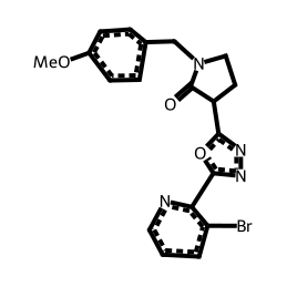 COc1ccc(CN2CCC(c3nnc(-c4ncccc4Br)o3)C2=O)cc1